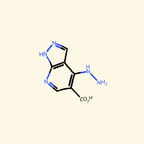 NNc1c(C(=O)O)cnc2[nH]ncc12